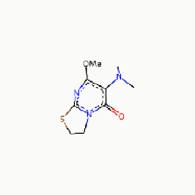 COc1nc2n(c(=O)c1N(C)C)CCS2